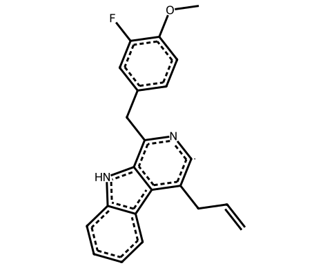 C=CCc1[c]nc(Cc2ccc(OC)c(F)c2)c2[nH]c3ccccc3c12